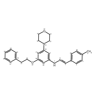 Cc1ccc(/C=N/Nc2cc(N3CCOCC3)nc(OCCc3ccccn3)n2)cc1